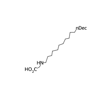 CCCCCCCCCCCCCCCCCCCCCNCC(=O)O